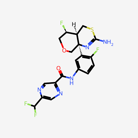 NC1=N[C@@]2(c3cc(NC(=O)c4cnc(C(F)F)cn4)ccc3F)COC[C@@H](F)[C@H]2CS1